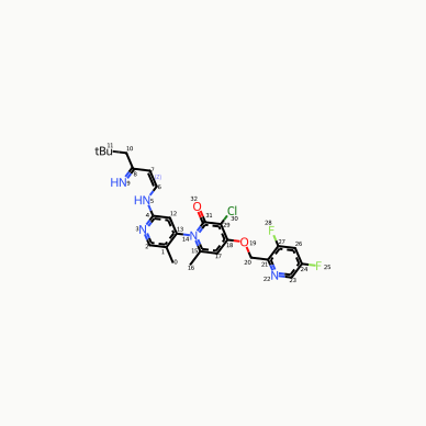 Cc1cnc(N/C=C\C(=N)CC(C)(C)C)cc1-n1c(C)cc(OCc2ncc(F)cc2F)c(Cl)c1=O